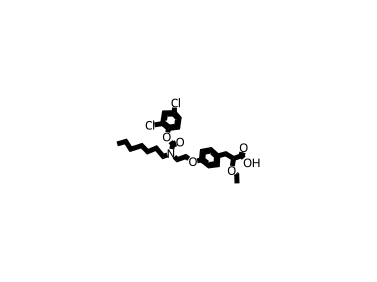 CCCCCCCN(CCOc1ccc(CC(OCC)C(=O)O)cc1)C(=O)Oc1ccc(Cl)cc1Cl